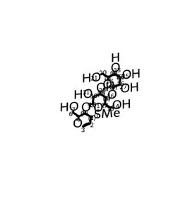 CS[C@@H]1C=COC(CO)[C@H]1O[C@@H]1OC(CO)[C@@H](O[C@@H]2OC(CO)[C@@H](O)[C@H](O)C2O)[C@H](O)C1O